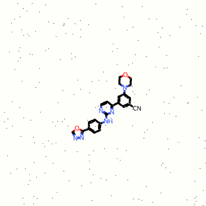 N#Cc1cc(-c2ccnc(Nc3ccc(-c4nnco4)cc3)n2)cc(N2CCOCC2)c1